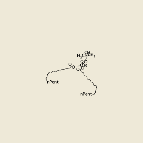 CCCCC/C=C\C/C=C\CCCCCCCCCC(=O)OC[C@H](COP(=O)([O-])OCC[N+](C)(C)C)OC(=O)CCCCCCCCC/C=C\C/C=C\CCCCC